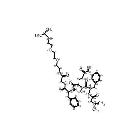 CC(C)NCCOCCOCCNC(=O)CNC(=O)[C@H](Cc1ccccc1)NC(=O)[C@H](CCC(=O)C=N)N([SiH3])C(=O)[SH](Cc1ccccc1)NC(=O)CN(C)C